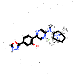 CN(c1cnc(-c2ccc(-c3nnco3)cc2O)cn1)[C@@H]1C[C@@]2(C)CC[C@](C)(N2)[C@@H]1F